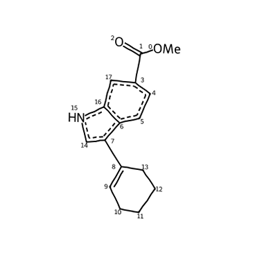 COC(=O)c1ccc2c(C3=CCCCC3)c[nH]c2c1